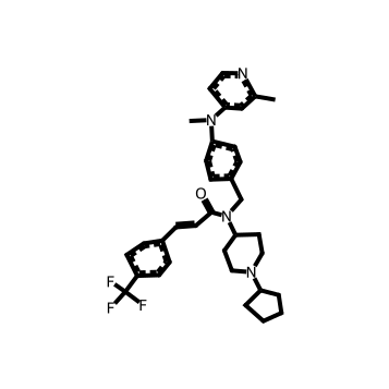 Cc1cc(N(C)c2ccc(CN(C(=O)C=Cc3ccc(C(F)(F)F)cc3)C3CCN(C4CCCC4)CC3)cc2)ccn1